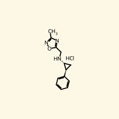 Cc1noc(CN[C@@H]2C[C@H]2c2ccccc2)n1.Cl